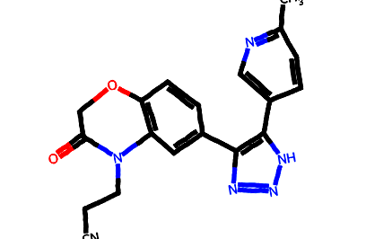 Cc1ccc(-c2[nH]nnc2-c2ccc3c(c2)N(CCC#N)C(=O)CO3)cn1